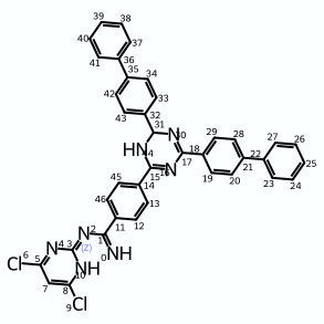 N=C(/N=c1/nc(Cl)cc(Cl)[nH]1)c1ccc(C2=NC(c3ccc(-c4ccccc4)cc3)=NC(c3ccc(-c4ccccc4)cc3)N2)cc1